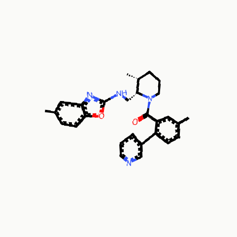 Cc1ccc(-c2cccnc2)c(C(=O)N2CCC[C@@H](C)[C@H]2CNc2nc3cc(C)ccc3o2)c1